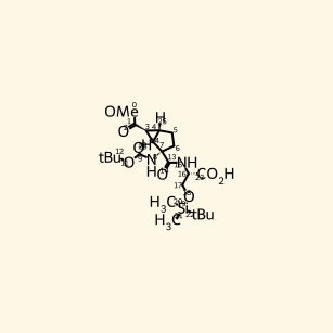 COC(=O)[C@H]1[C@@H]2CC[C@@](NC(=O)OC(C)(C)C)(C(=O)N[C@@H](CO[Si](C)(C)C(C)(C)C)C(=O)O)[C@@H]21